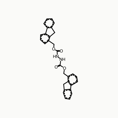 O=C(NNC(=O)OCc1cccc2c1Cc1ccccc1-2)OCc1cccc2c1Cc1ccccc1-2